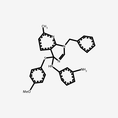 COc1ccc(SC2(Nc3cccc(N)c3)N=CN(Cc3ccccc3)c3nc(C)ccc32)cc1